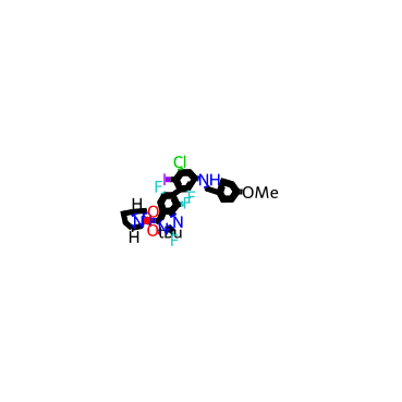 COc1ccc(CNc2cc(Cl)c(I)c(-c3c(F)cc4c(N5C[C@H]6CC[C@@H](C5)N6C(=O)OC(C)(C)C)nc(F)nc4c3F)c2F)cc1